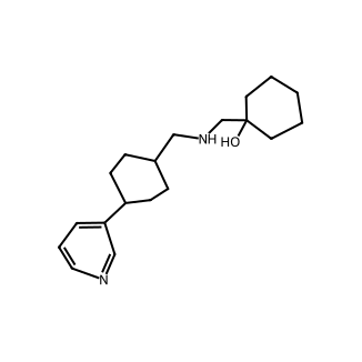 OC1(CNCC2CCC(c3cccnc3)CC2)CCCCC1